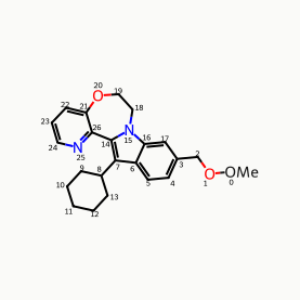 COOCc1ccc2c(C3CCCCC3)c3n(c2c1)CCOc1cccnc1-3